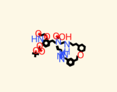 C=CCn1nnc(-c2cccc(CCOC3CCCC(CCCNCCN(CCc4ccc(OC(=O)OC(C)(C)C)c5c4OCC(=O)N5)C(=O)O)C3)c2)n1